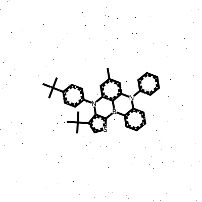 Cc1cc2c3c(c1)N(c1ccc(C(C)(C)C)cc1)c1c(C(C)(C)C)csc1B3c1ccccc1N2c1ccccc1